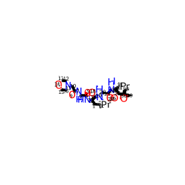 CC(C)CC(NC(=O)CNC(=O)CN1CCOCC1)C(=O)NCC(=O)NC(C(=O)C1(C)CO1)C(C)C